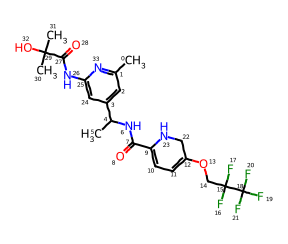 Cc1cc(C(C)NC(=O)C2=CC=C(OCC(F)(F)C(F)(F)F)CN2)cc(NC(=O)C(C)(C)O)n1